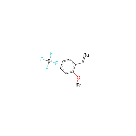 CC(C)Oc1ccccc1[CH]=[Ru].F[B-](F)(F)F